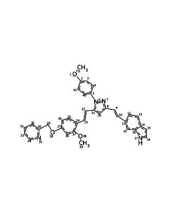 COc1ccc(-n2nc(C=Cc3ccc4cc[nH]c4c3)cc2C=Cc2ccc(OCc3ccccn3)cc2OC)cc1